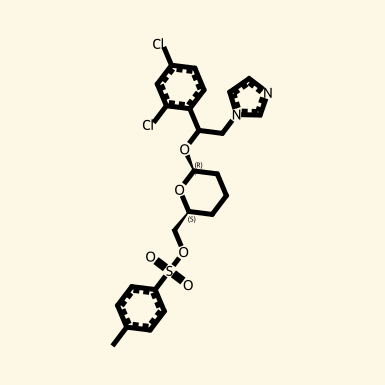 Cc1ccc(S(=O)(=O)OC[C@@H]2CCC[C@H](OC(Cn3ccnc3)c3ccc(Cl)cc3Cl)O2)cc1